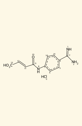 Cl.N=C(N)c1ccc(NC(=O)/C=C/C(=O)O)cc1